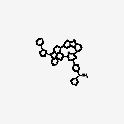 NC(c1ccccc1)c1ccc(-c2nc(-c3ccccc3)nc(-c3cccc4oc5ccc(-c6ccc7c(c6)c6ccccc6n7-c6cccc(-c7ccccc7)c6)cc5c34)n2)cc1